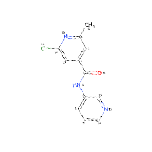 Cc1cc(C(=O)Nc2cccnc2)cc(Cl)n1